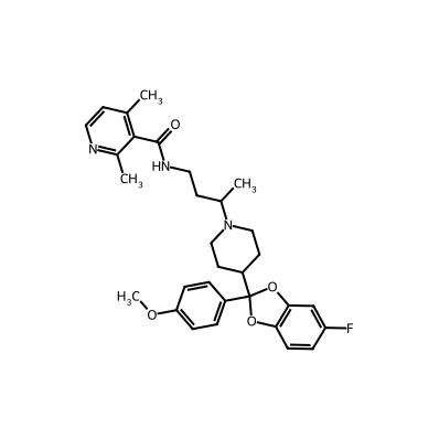 COc1ccc(C2(C3CCN(C(C)CCNC(=O)c4c(C)ccnc4C)CC3)Oc3ccc(F)cc3O2)cc1